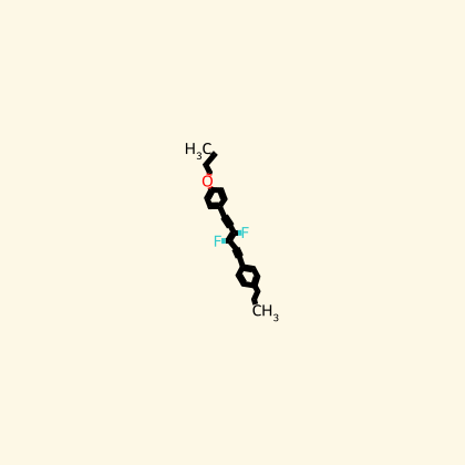 CCCCOc1ccc(C#C/C(F)=C(\F)C#Cc2ccc(CCC)cc2)cc1